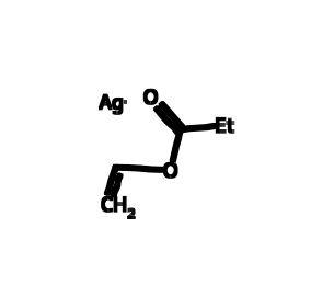 C=COC(=O)CC.[Ag]